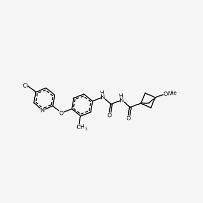 COC12CC(C(=O)NC(=O)Nc3ccc(Oc4ccc(Cl)cn4)c(C)c3)(C1)C2